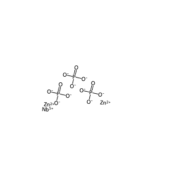 O=P([O-])([O-])[O-].O=P([O-])([O-])[O-].O=P([O-])([O-])[O-].[Nb+5].[Zn+2].[Zn+2]